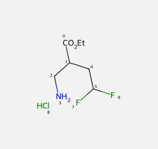 CCOC(=O)C(CN)CC(F)F.Cl